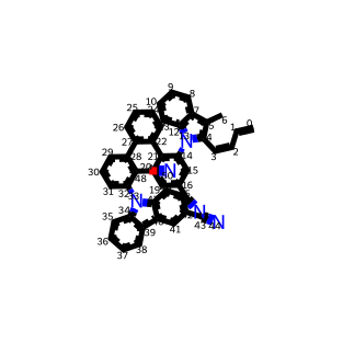 C=C/C=C\c1c(C)c2ccccc2n1-c1cc(C#N)ccc1-c1ccccc1-c1cccc(-n2c3ccccc3c3cc(C#N)ccc32)c1C#N